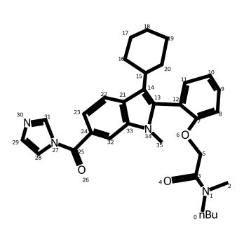 CCCCN(C)C(=O)COc1ccccc1-c1c(C2CCCCC2)c2ccc(C(=O)n3ccnc3)cc2n1C